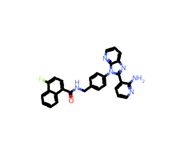 Nc1ncccc1-c1nc2cccnc2n1-c1ccc(CNC(=O)c2ccc(F)c3ccccc23)cc1